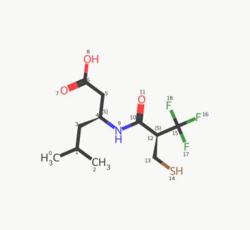 CC(C)C[C@@H](CC(=O)O)NC(=O)[C@H](CS)C(F)(F)F